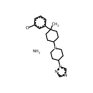 CC1(c2cccc(Cl)c2)CCC(N2CCC(n3cncn3)CC2)CC1.N